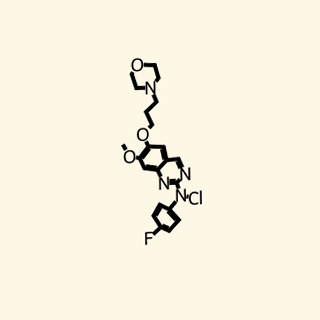 COc1cc2nc(N(Cl)c3ccc(F)cc3)ncc2cc1OCCCN1CCOCC1